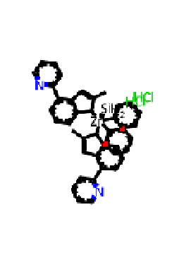 CC1=Cc2c(-c3ccccn3)cccc2[CH]1[Zr](=[SiH2])([c]1ccccc1)([c]1ccccc1)[CH]1C(C)=Cc2c(-c3ccccn3)cccc21.Cl.Cl